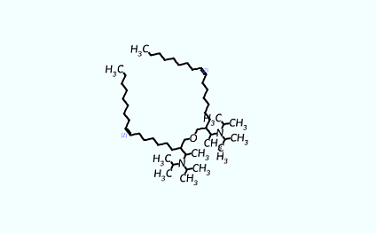 CCCCCCCC/C=C\CCCCCCC(COCC(CCCCCC/C=C\CCCCCCCC)C(C)N(C(C)C)C(C)C)C(C)N(C(C)C)C(C)C